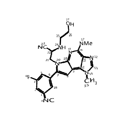 [C-]#[N+]c1cc(F)cc(-c2cc3c4c(ncn4C)c(NC)nc3n2CC(C#N)NCCO)c1